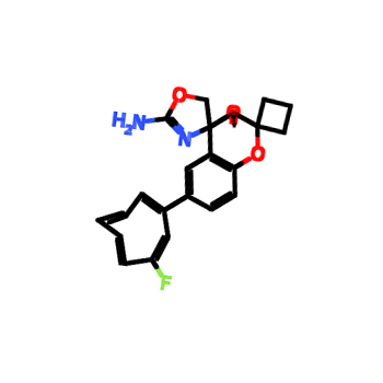 NC1=NC2(CO1)c1cc(C3=C/C=C/C=C/C(F)=C\3)ccc1OC1(CCC1)C21COC1